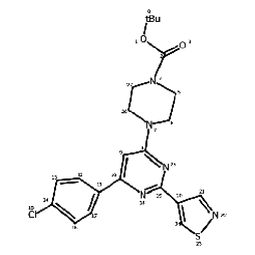 CC(C)(C)OC(=O)N1CCN(c2cc(-c3ccc(Cl)cc3)nc(-c3cnsc3)n2)CC1